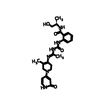 CC1=C(/N=C(\C)NC(=O)Nc2ccccc2C(=O)N[C@@H](C)CO)CCN(c2cc[nH]c(=O)c2)C1